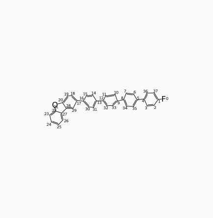 Fc1ccc(-c2ccc(-c3ccc(-c4ccc(-c5ccc6oc7ccccc7c6c5)cc4)cc3)cc2)cc1